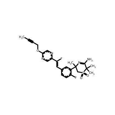 CC#CCOc1cnc(C(F)=Cc2ccc(F)c(C3(C)CS(=O)(=O)C(C)(C)C(N)=N3)c2)cn1